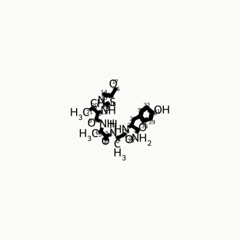 CC(NC(=O)C(C)NC(=O)C(Nc1ncc(C=O)s1)C(C)C)C(=O)NC(Cc1ccc(O)cc1)C(N)=O